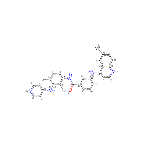 Cc1ccc(NC(=O)c2cccc(Nc3ccnc4ccc(C#N)cc34)c2)c(C)c1Nc1ccncc1